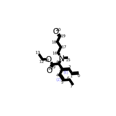 C=C/C=C(\C=C/CC)C(C(=O)OCC)N(C)CCCC=O